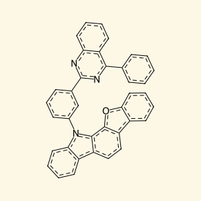 c1ccc(-c2nc(-c3cccc(-n4c5ccccc5c5ccc6c7ccccc7oc6c54)c3)nc3ccccc23)cc1